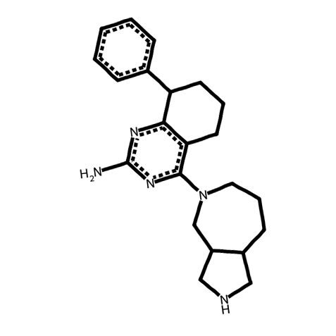 Nc1nc2c(c(N3CCCC4CNCC4C3)n1)CCCC2c1ccccc1